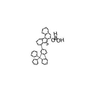 OBOc1cc2ccccc2c2c1sc1c(-c3ccc4c(c3)C(c3ccccc3)(c3ccccc3)c3ccccc3-4)cccc12